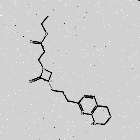 CCOC(=O)CCN1C[C@H](CCCc2ccc3c(n2)NCCC3)C1=O